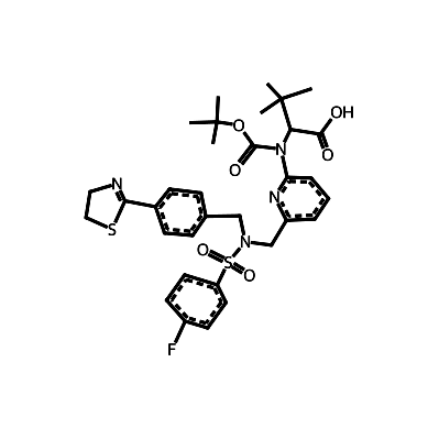 CC(C)(C)OC(=O)N(c1cccc(CN(Cc2ccc(C3=NCCS3)cc2)S(=O)(=O)c2ccc(F)cc2)n1)C(C(=O)O)C(C)(C)C